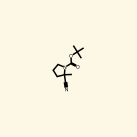 CC(C)(C)OC(=O)N1CCCC1(C)C#N